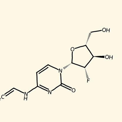 C=CNc1ccn([C@@H]2O[C@H](CO)[C@@H](O)[C@@H]2F)c(=O)n1